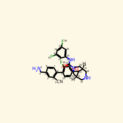 N#Cc1cc(CN)ccc1-c1ccc(C2(O)[C@@H]3CNC[C@H]2CN(C(=O)Nc2cc(F)cc(F)c2)C3)cc1F